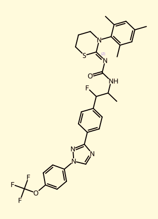 Cc1cc(C)c(N2CCCS/C2=N\C(=O)NC(C)C(F)c2ccc(-c3ncn(-c4ccc(OC(F)(F)F)cc4)n3)cc2)c(C)c1